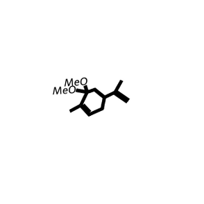 C=C(C)C1CC=C(C)C(OC)(OC)C1